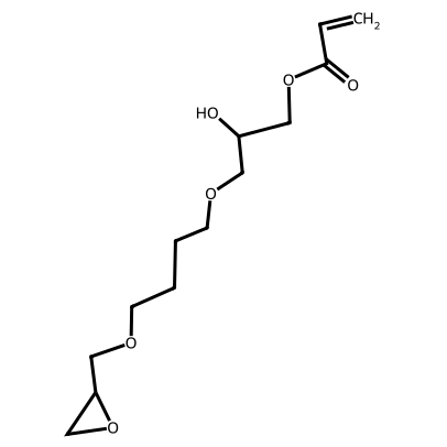 C=CC(=O)OCC(O)COCCCCOCC1CO1